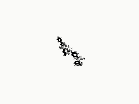 Cc1cc(Nc2cc(-c3ccccc3)n[nH]2)nc(Nc2ccc(NC(=O)N(S)c3ccc(Cl)c(C(F)(F)F)c3)nc2)n1